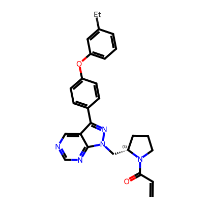 C=CC(=O)N1CCC[C@H]1Cn1nc(-c2ccc(Oc3cccc(CC)c3)cc2)c2cncnc21